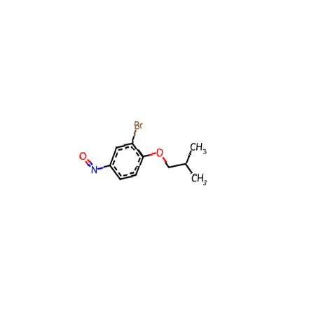 CC(C)COc1ccc(N=O)cc1Br